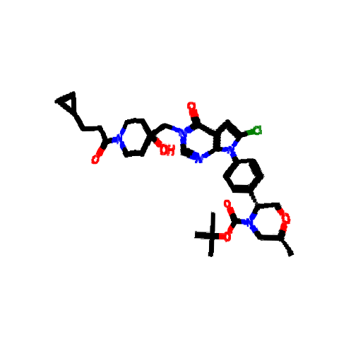 C[C@H]1CN(C(=O)OC(C)(C)C)[C@H](c2ccc(-n3c(Cl)cc4c(=O)n(CC5(O)CCN(C(=O)CCC6CC6)CC5)cnc43)cc2)CO1